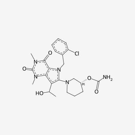 CC(O)c1c(N2CCC[C@@H](OC(N)=O)C2)n(Cc2ccccc2Cl)c2c(=O)n(C)c(=O)n(C)c12